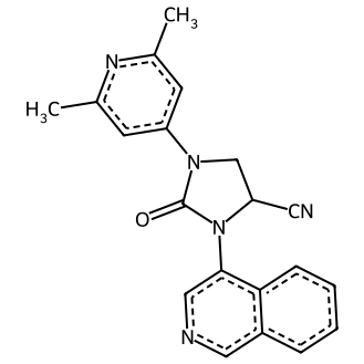 Cc1cc(N2CC(C#N)N(c3cncc4ccccc34)C2=O)cc(C)n1